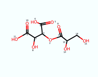 O=C(OC(C(=O)O)C(O)C(=O)O)C(O)CO